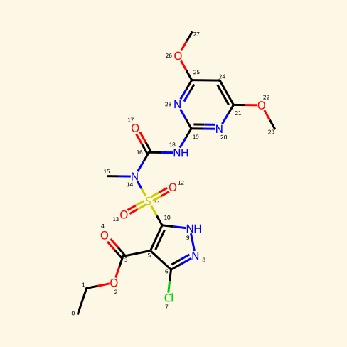 CCOC(=O)c1c(Cl)n[nH]c1S(=O)(=O)N(C)C(=O)Nc1nc(OC)cc(OC)n1